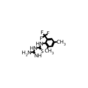 Cc1cc(C)c(NC(=S)NC(=N)N)c(C(F)(F)F)c1